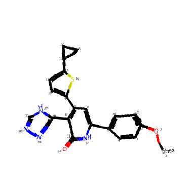 CCCCCCOc1ccc(-c2cc(-c3ccc(C4CC4)s3)c(-c3nnc[nH]3)c(=O)[nH]2)cc1